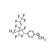 COc1ccc(CC2(F)C(F)(C=C(F)C(F)(F)F)C2(C)C(F)F)cc1